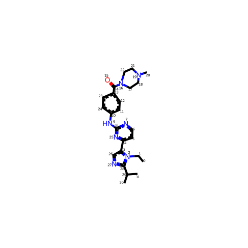 CCn1c(-c2ccnc(Nc3ccc(C(=O)N4CCN(C)CC4)cc3)n2)cnc1C(C)C